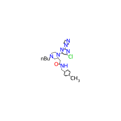 CCCCN1CCN(c2cc(Cl)nc(-n3ccnc3)n2)C(CC(=O)NCc2ccc(C)cc2)C1